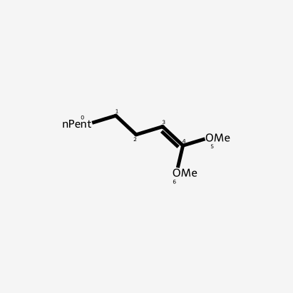 CCCCCCCC=C(OC)OC